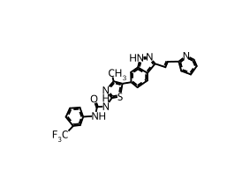 Cc1nc(NC(=O)Nc2cccc(C(F)(F)F)c2)sc1-c1ccc2c(/C=C/c3ccccn3)n[nH]c2c1